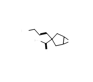 CCC=CC1(C(=O)O)CC2OC2C1